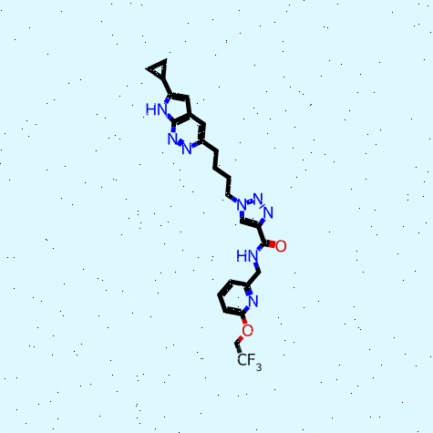 O=C(NCc1cccc(OCC(F)(F)F)n1)c1cn(CCCCc2cc3cc(C4CC4)[nH]c3nn2)nn1